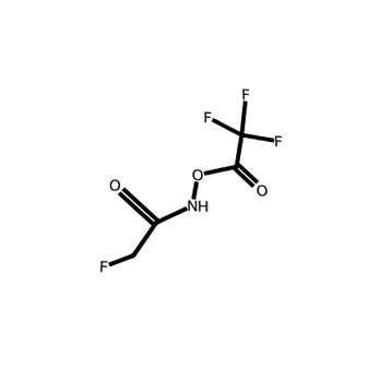 O=C(CF)NOC(=O)C(F)(F)F